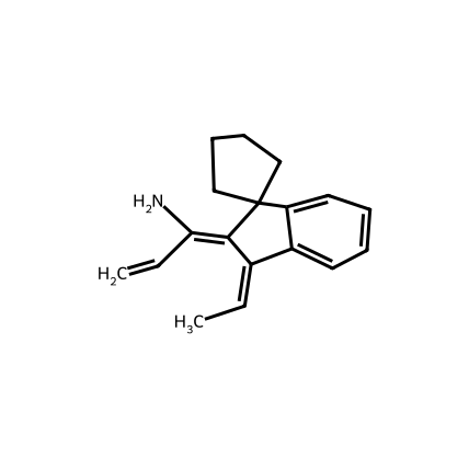 C=C/C(N)=C1\C(=C/C)c2ccccc2C12CCCC2